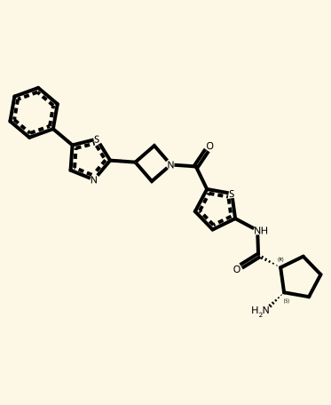 N[C@H]1CCC[C@H]1C(=O)Nc1ccc(C(=O)N2CC(c3ncc(-c4ccccc4)s3)C2)s1